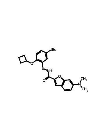 CN(C)c1ccc2cc(C(=O)NSc3cc(C(C)(C)C)ccc3OC3CCC3)oc2c1